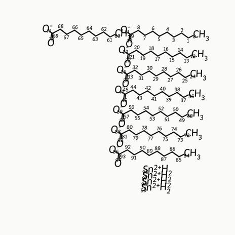 CCCCCCCCCC(=O)[O-].CCCCCCCCCC(=O)[O-].CCCCCCCCCC(=O)[O-].CCCCCCCCCC(=O)[O-].CCCCCCCCCC(=O)[O-].CCCCCCCCCC(=O)[O-].CCCCCCCCCC(=O)[O-].CCCCCCCCCC(=O)[O-].[SnH2+2].[SnH2+2].[SnH2+2].[SnH2+2]